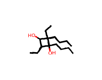 CCCCC1(O)C(CC)C(O)C1(CC)CCCC